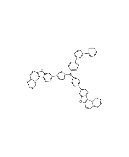 c1ccc(-c2cccc(-c3ccc(N(c4ccc(-c5ccc6c(c5)oc5ccc7ccccc7c56)cc4)c4ccc(-c5ccc6c(c5)oc5ccc7ccccc7c56)cc4)cc3)c2)cc1